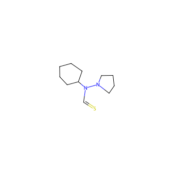 S=CN(C1CCCCC1)N1CCCC1